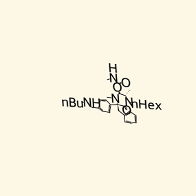 CCCCCCN1C(=O)[C@](Cc2ccccc2)(c2ccc(CNCCCC)cc2)N(C)C(=O)[C@@H]1C.CNC=O